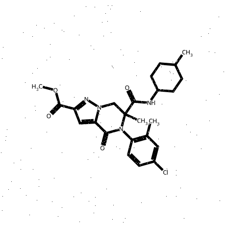 COC(=O)c1cc2n(n1)CC(C)(C(=O)NC1CCC(C)CC1)N(c1ccc(Cl)cc1C)C2=O